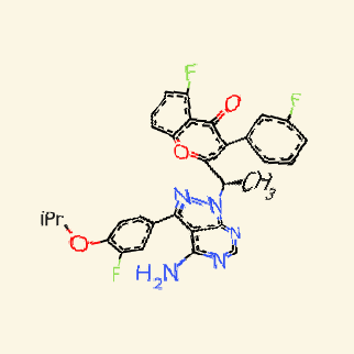 CC(C)Oc1ccc(-c2nn([C@H](C)c3oc4cccc(F)c4c(=O)c3-c3cccc(F)c3)c3ncnc(N)c23)cc1F